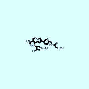 CCC1CN(C(=O)O)CC1Nc1c(C(N)=O)cnn2cc(-c3ccc(CNC(=O)COC)nc3)cc12